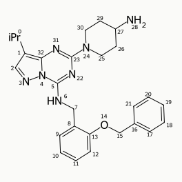 CC(C)c1cnn2c(NCc3ccccc3OCc3ccccc3)nc(N3CCC(N)CC3)nc12